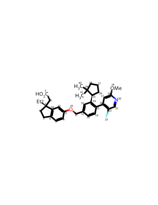 CC[C@]1(CC(=O)O)CCc2ccc(OCc3ccc(-c4cc(OC)ncc4F)c([C@@H]4CCCC4(C)C)c3)cc21